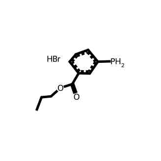 Br.CCCOC(=O)c1cccc(P)c1